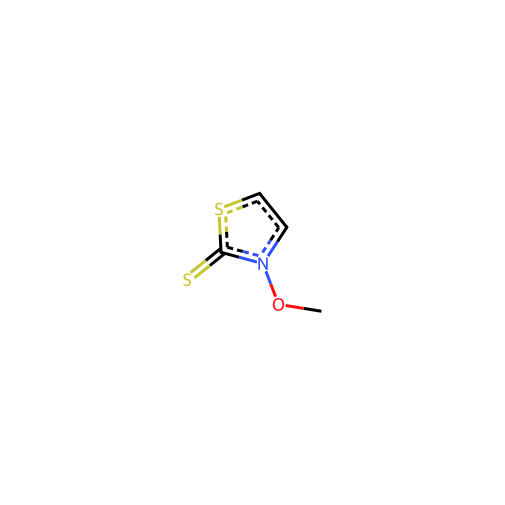 COn1ccsc1=S